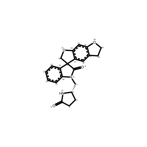 O=C1CC[C@@H](CN2C(=O)C3(COc4cc5c(cc43)CCO5)c3ccccc32)N1